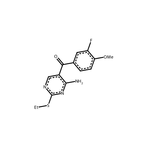 CCSc1ncc(C(=O)c2ccc(OC)c(F)c2)c(N)n1